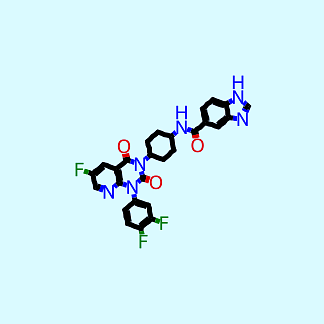 O=C(NC1CCC(n2c(=O)c3cc(F)cnc3n(-c3ccc(F)c(F)c3)c2=O)CC1)c1ccc2[nH]cnc2c1